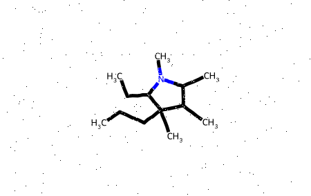 CCCC1(C)C(C)C(C)N(C)C1CC